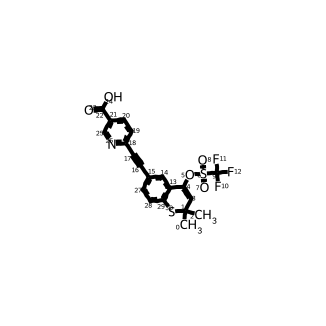 CC1(C)C=C(OS(=O)(=O)C(F)(F)F)c2cc(C#Cc3ccc(C(=O)O)cn3)ccc2S1